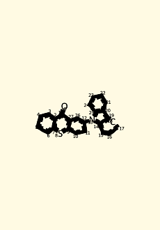 O=c1c2ccccc2sc2ccc(-n3c4ccccc4c4ccccc43)cc12